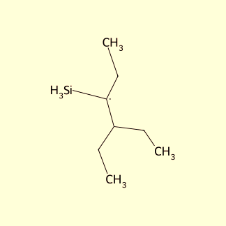 CC[C]([SiH3])C(CC)CC